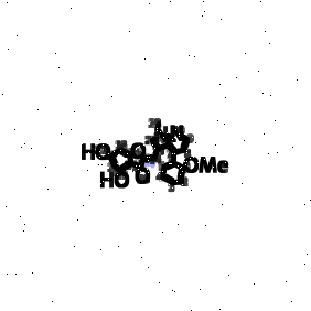 COc1ccccc1-c1ccnc2c1c(/C=C1\Oc3cc(O)cc(O)c3C1=O)cn2C